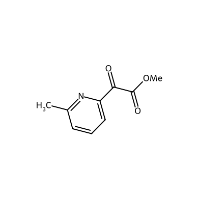 COC(=O)C(=O)c1cccc(C)n1